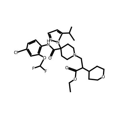 CCOC(=O)C(CN1CCC(C(=O)Nc2ccc(Cl)cc2OC(F)F)(n2nccc2C(C)C)CC1)C1CCOCC1